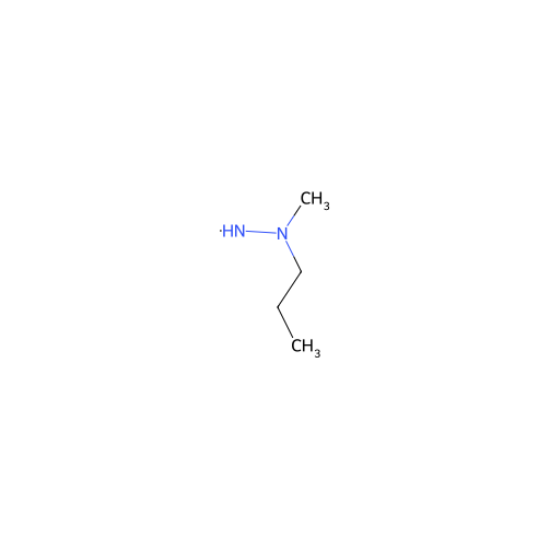 CCCN(C)[NH]